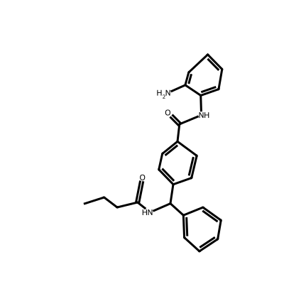 CCCC(=O)NC(c1ccccc1)c1ccc(C(=O)Nc2ccccc2N)cc1